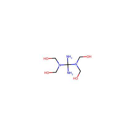 NC(N)(N(CO)CO)N(CO)CO